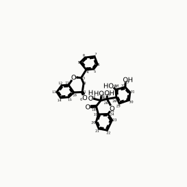 O=C1CC(c2ccccc2)Oc2ccccc21.O=C1c2ccccc2OC(O)(c2cccc(O)c2O)C1(O)O